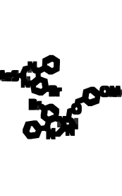 COc1ccc(COCc2nnc3n2-c2ccc(Br)cc2C(c2ccccc2)=NC3)cc1.CSC1=Nc2ccc(Br)cc2C(c2ccccc2)=NC1